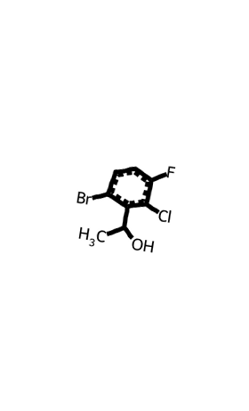 CC(O)c1c(Br)ccc(F)c1Cl